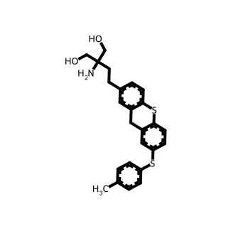 Cc1ccc(Sc2ccc3c(c2)Cc2cc(CCC(N)(CO)CO)ccc2S3)cc1